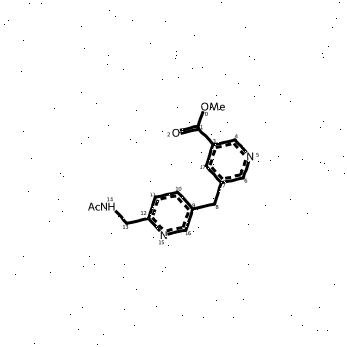 COC(=O)c1cncc(Cc2ccc(CNC(C)=O)nc2)c1